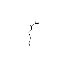 CCCCC=C(S)C(=O)O